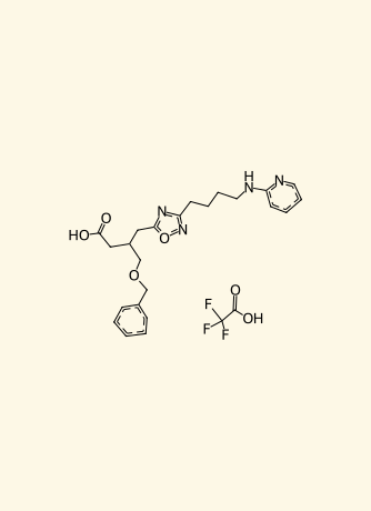 O=C(O)C(F)(F)F.O=C(O)CC(COCc1ccccc1)Cc1nc(CCCCNc2ccccn2)no1